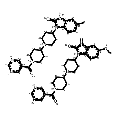 COc1ccc2c(c1)[nH]c(=O)n2C1CCN(C2CCN(C(=O)c3cncnc3)CC2)CC1.Cc1ccc2c(c1)[nH]c(=O)n2C1CCN(C2CCN(C(=O)c3cncnc3)CC2)CC1